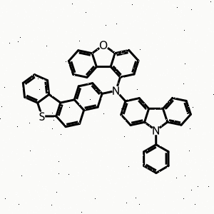 c1ccc(-n2c3ccccc3c3cc(N(c4ccc5c(ccc6sc7ccccc7c65)c4)c4cccc5oc6ccccc6c45)ccc32)cc1